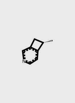 C[C@H]1Cc2cnccc21